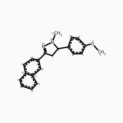 COc1ccc(C2CC(c3ccc4ccccc4c3)=NN2C)cc1